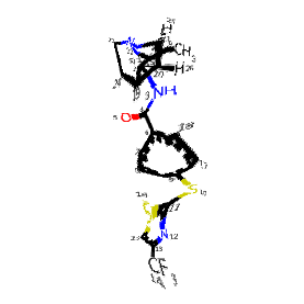 C[C@H]1[C@H](NC(=O)c2ccc(Sc3nc(C(F)(F)F)cs3)cc2)C2CCN1CC2